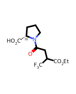 CCOC(=O)C(CC(=O)N1CCC[C@H]1C(=O)O)C(F)(F)F